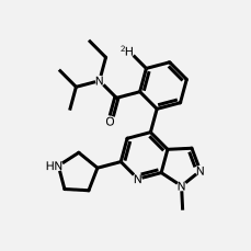 [2H]c1cccc(-c2cc(C3CCNC3)nc3c2cnn3C)c1C(=O)N(CC)C(C)C